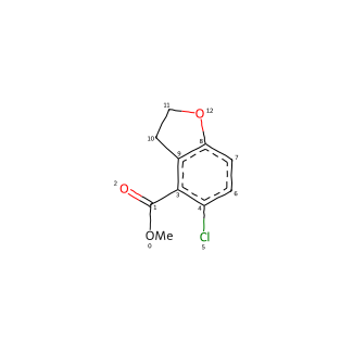 COC(=O)c1c(Cl)ccc2c1CCO2